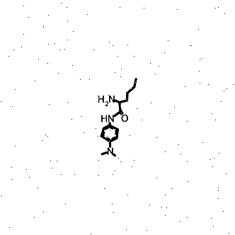 CCCCC(N)C(=O)Nc1ccc(N(C)C)cc1